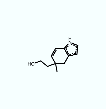 CC1(CCO)C=Cc2[nH]ccc2C1